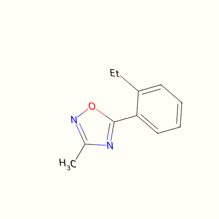 CCc1ccccc1-c1nc(C)no1